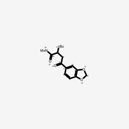 CCCCC(CC(=O)c1ccc2c(c1)OCO2)C(=O)NC